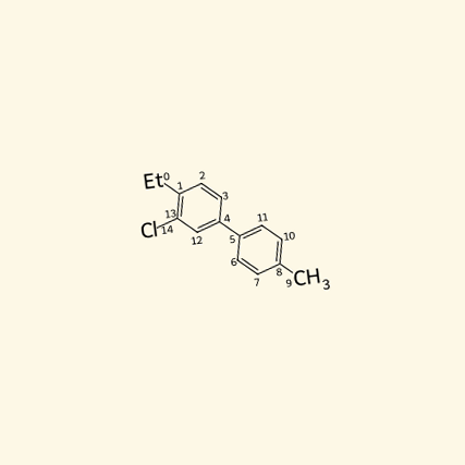 CCc1ccc(-c2ccc(C)cc2)cc1Cl